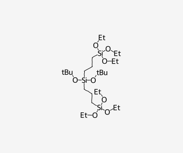 CCO[Si](CCC[Si](CCC[Si](OCC)(OCC)OCC)(OC(C)(C)C)OC(C)(C)C)(OCC)OCC